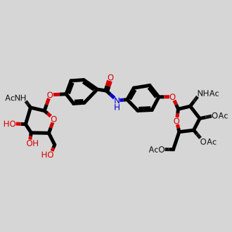 CC(=O)NC1C(Oc2ccc(C(=O)Nc3ccc(OC4OC(COC(C)=O)C(OC(C)=O)C(OC(C)=O)C4NC(C)=O)cc3)cc2)OC(CO)C(O)C1O